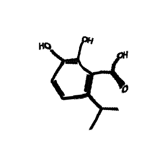 CC(C)c1ccc(O)c(O)c1C(=O)O